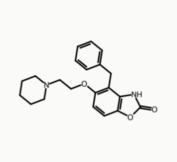 O=c1[nH]c2c(Cc3ccccc3)c(OCCN3CCCCC3)ccc2o1